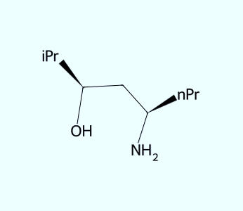 CCC[C@@H](N)C[C@@H](O)C(C)C